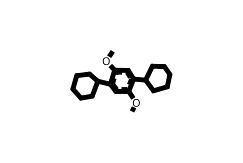 COc1cc(C2CCCCC2)c(OC)cc1C1CCCCC1